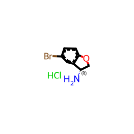 Cl.N[C@H]1COc2ccc(Br)cc21